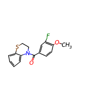 COc1ccc(C(=O)N2CCSc3ccccc32)cc1F